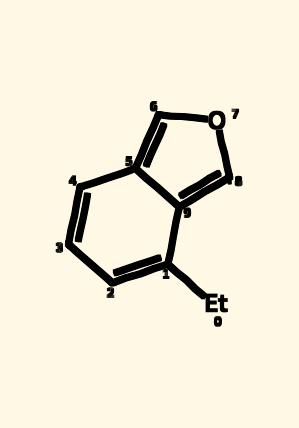 CCc1cccc2co[c]c12